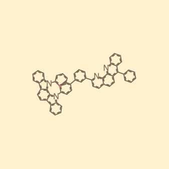 c1ccc(-c2c3ccccc3nc3c2ccc2ccc(-c4cccc(-c5ccc(-n6c7ccccc7c7ccc8c9ccccc9n(-c9ccccc9)c8c76)cc5)c4)nc23)cc1